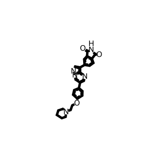 O=C1NC(=O)c2cc(-c3cnn4cc(-c5ccc(OCCN6CCCCC6)cc5)cnc34)ccc21